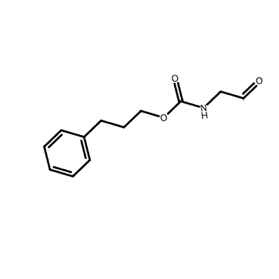 O=[C]CNC(=O)OCCCc1ccccc1